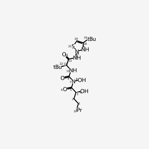 CC(C)CC[C@H](O)C(=O)N(O)C(=O)N[C@H](C(=O)NN1NC(C(C)(C)C)=CS1)C(C)(C)C